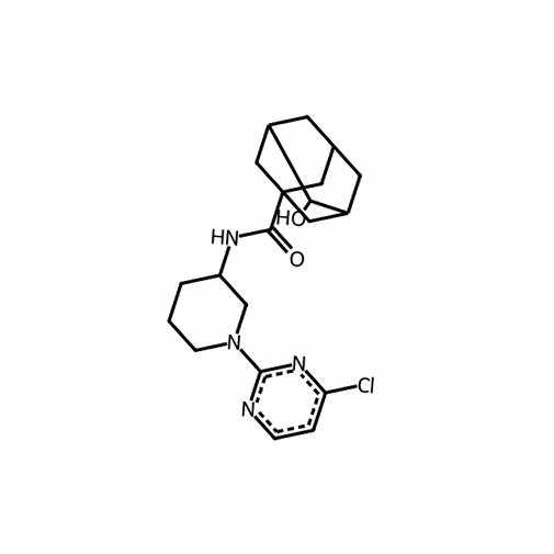 O=C(NC1CCCN(c2nccc(Cl)n2)C1)C12CC3CC(C1)C(O)C(C3)C2